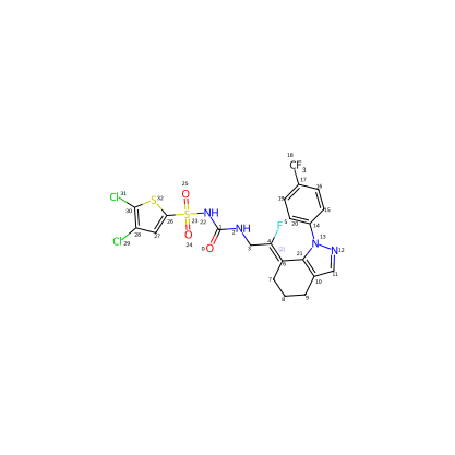 O=C(NC/C(F)=C1\CCCc2cnn(-c3ccc(C(F)(F)F)cc3)c21)NS(=O)(=O)c1cc(Cl)c(Cl)s1